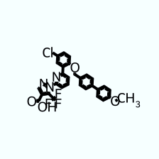 COc1ccc(-c2ccc(COc3ccc(Cl)cc3-c3cccc(-n4ncc(C(=O)O)c4C(F)(F)F)n3)cc2)cc1